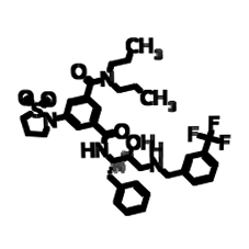 CCCN(CCC)C(=O)c1cc(C(=O)N[C@@H](Cc2ccccc2)[C@H](O)CNCc2cccc(C(F)(F)F)c2)cc(N2CCCS2(=O)=O)c1